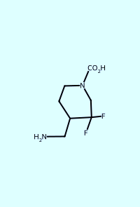 NCC1CCN(C(=O)O)CC1(F)F